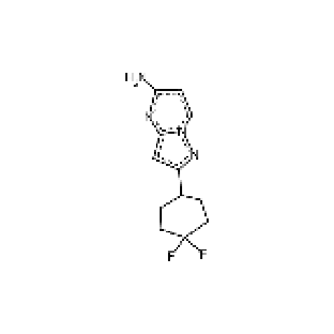 Nc1ccn2nc(C3CCC(F)(F)CC3)cc2n1